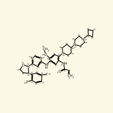 C=CC(=O)Nc1cc(Nc2cc(N3OCC[C@@H]3c3cc(F)ccc3F)ncn2)c(OC)cc1N1CCC(N2CCN(C3CCC3)CC2)CC1